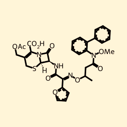 CON(C(=O)CC(C)ON=C(C(=O)N[C@@H]1C(=O)N2C(C(=O)O)=C(COC(C)=O)CS[C@H]12)c1ccco1)c1ccccc1-c1ccccc1